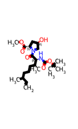 C=CC(C)CCC[C@@H](C)[C@@H](NC(=O)OC(C)(C)C)C(=O)N1C[C@H](O)C[C@H]1C(=O)OC